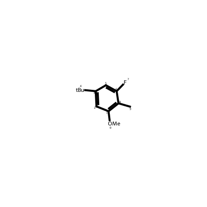 COc1cc(C(C)(C)C)cc(F)c1C